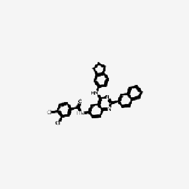 O=C(Nc1ccc2nc(-c3ccc4ccccc4c3)nc(Nc3ccc4c(c3)CCC4)c2c1)c1ccc(Cl)c(Cl)c1